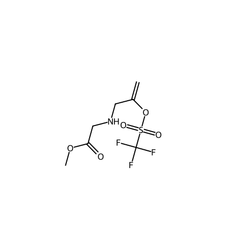 C=C(CNCC(=O)OC)OS(=O)(=O)C(F)(F)F